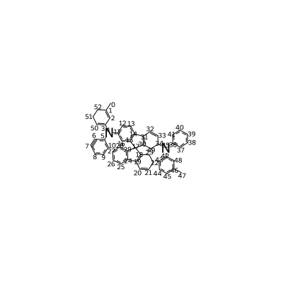 CC1=CC(N(c2c#cccc2)c2ccc3c(c2)C2(C4=C(C=CCC4)c4ccccc42)C2=C3C=CC(N(c3ccccc3)c3cccc(C)c3)C2)=CCC1